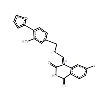 O=C1NC(=O)c2ccc(I)cc2/C1=C/NCc1ccc(-c2ccco2)c(O)c1